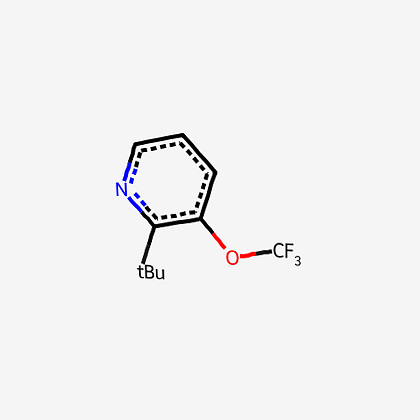 CC(C)(C)c1ncccc1OC(F)(F)F